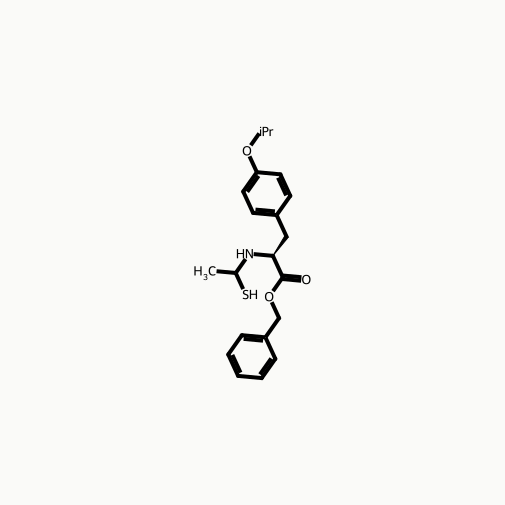 CC(S)N[C@@H](Cc1ccc(OC(C)C)cc1)C(=O)OCc1ccccc1